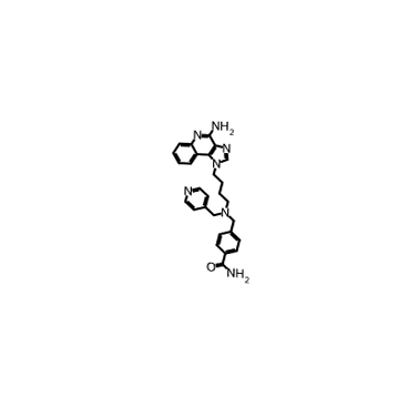 NC(=O)c1ccc(CN(CCCCn2cnc3c(N)nc4ccccc4c32)Cc2ccncc2)cc1